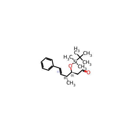 C[C@H](/C=C/c1ccccc1)[C@H](CC=O)O[Si](C)(C)C(C)(C)C